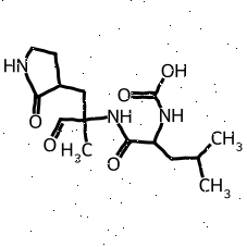 CC(C)CC(NC(=O)O)C(=O)NC(C)(C=O)CC1CCNC1=O